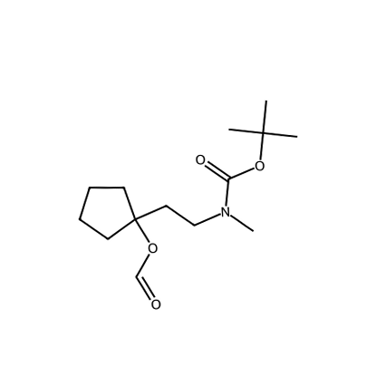 CN(CCC1(OC=O)CCCC1)C(=O)OC(C)(C)C